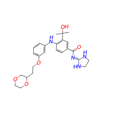 CC(C)(O)c1cc(C(=O)N=C2NCCN2)ccc1Nc1cccc(OCCC2COCCO2)c1